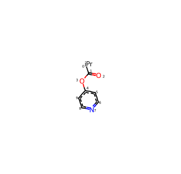 CC(C)C(=O)Oc1ccncc1